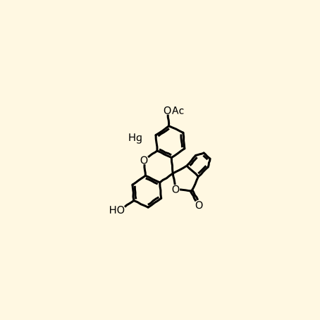 CC(=O)Oc1ccc2c(c1)Oc1cc(O)ccc1C21OC(=O)c2ccccc21.[Hg]